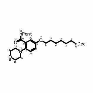 CCCCCCCCCCCCCCCCOc1ccc(N2CCOCC2)c(C(=O)CCCCC)c1